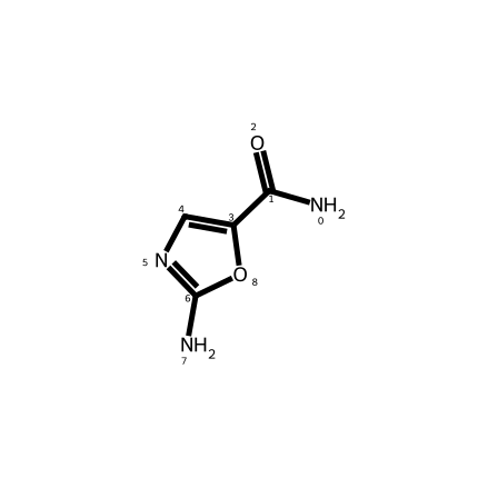 NC(=O)c1cnc(N)o1